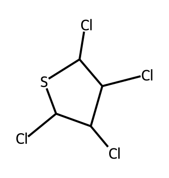 ClC1SC(Cl)C(Cl)C1Cl